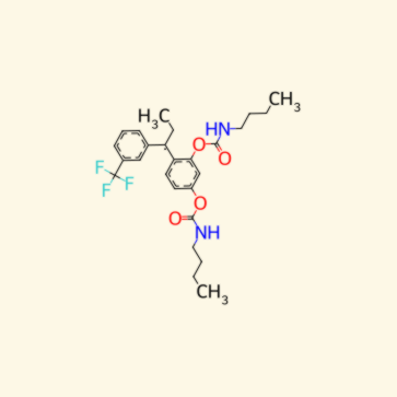 CCCCNC(=O)Oc1ccc([C](CC)c2cccc(C(F)(F)F)c2)c(OC(=O)NCCCC)c1